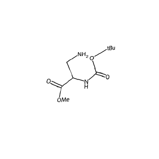 COC(=O)C(CN)NC(=O)OC(C)(C)C